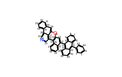 c1ccc(-c2c3ccccc3c(-c3cc4c(c5ccccc35)-c3cncc5c3c(cc3ccccc35)O4)c3ccccc23)cc1